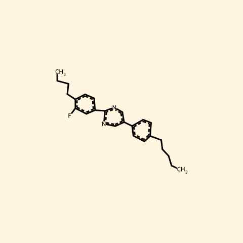 CCCCCc1ccc(-c2cnc(-c3ccc(CCCC)c(F)c3)nc2)cc1